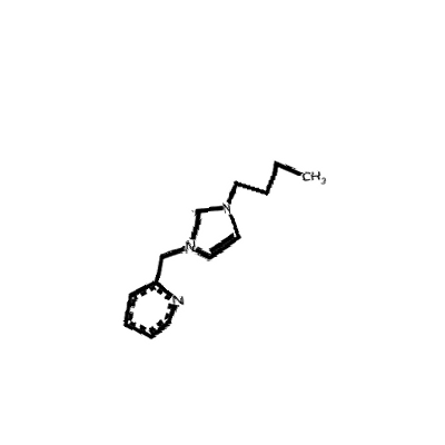 CCCCN1[CH]N(Cc2ccccn2)C=C1